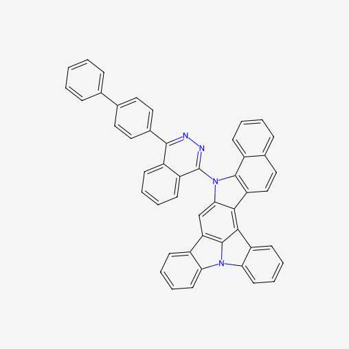 c1ccc(-c2ccc(-c3nnc(-n4c5cc6c7ccccc7n7c8ccccc8c(c5c5ccc8ccccc8c54)c67)c4ccccc34)cc2)cc1